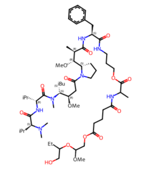 CCC(CO)OC(COC(=O)CCCC(=O)NC(C)C(=O)OCCCNC(=O)[C@H](Cc1ccccc1)NC(=O)[C@H](C)[C@@H](OC)[C@@H]1CCCN1C(=O)C[C@@H](OC)[C@H]([C@@H](C)CC)N(C)C(=O)[C@H](NC(=O)[C@H](C(C)C)N(C)C)C(C)C)OC